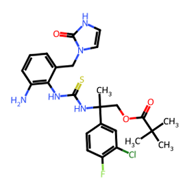 CC(C)(C)C(=O)OCC(C)(NC(=S)Nc1c(N)cccc1Cn1cc[nH]c1=O)c1ccc(F)c(Cl)c1